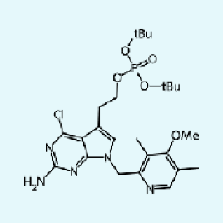 COc1c(C)cnc(Cn2cc(CCOP(=O)(OC(C)(C)C)OC(C)(C)C)c3c(Cl)nc(N)nc32)c1C